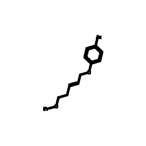 CC(=O)c1ccc(OC/C=C/CCOC(C)C)cc1